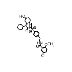 COc1ccc(Cl)cc1C(=O)NCCc1ccc(S(=O)(=O)NC(=O)N(C2CCCCC2)[C@@H]2CCC[C@H](O)C2)cc1